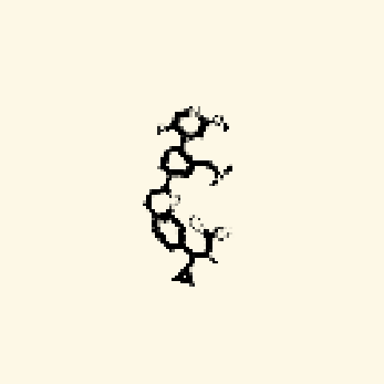 COc1cc(-c2ccc(C3CCc4ccc(C(C5CC5)[C@H](C)C(=O)O)cc4O3)cc2CN(C)C)c(F)cn1